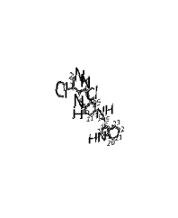 Clc1cnnc(Cl)c1Nc1ccc(NCCc2c[nH]c3ccccc23)cc1